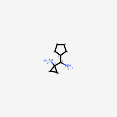 NC(C1CCCC1)C1(N)CC1